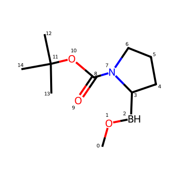 COBC1CCCN1C(=O)OC(C)(C)C